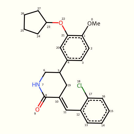 COc1ccc(C2CNC(=O)C(=Cc3ccccc3Cl)C2)cc1OC1CCCC1